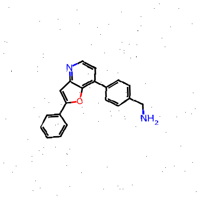 NCc1ccc(-c2ccnc3cc(-c4ccccc4)oc23)cc1